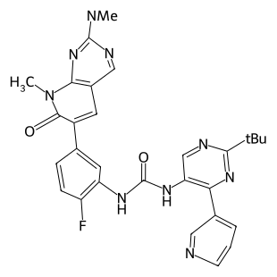 CNc1ncc2cc(-c3ccc(F)c(NC(=O)Nc4cnc(C(C)(C)C)nc4-c4cccnc4)c3)c(=O)n(C)c2n1